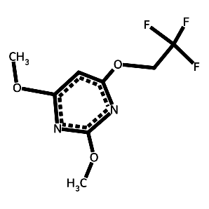 COc1cc(OCC(F)(F)F)nc(OC)n1